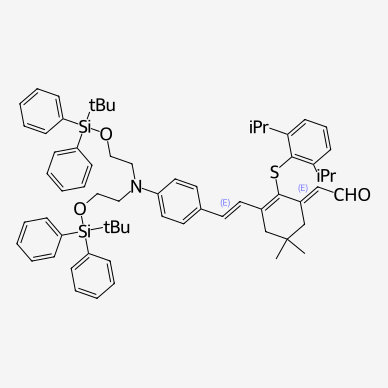 CC(C)c1cccc(C(C)C)c1SC1=C(/C=C/c2ccc(N(CCO[Si](c3ccccc3)(c3ccccc3)C(C)(C)C)CCO[Si](c3ccccc3)(c3ccccc3)C(C)(C)C)cc2)CC(C)(C)C/C1=C\C=O